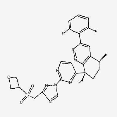 CC(C)[C@]1(c2ccnc(-n3cnc(CS(=O)(=O)C4COC4)n3)n2)CC[C@H](C)c2cc(-c3c(F)cccc3F)nnc21